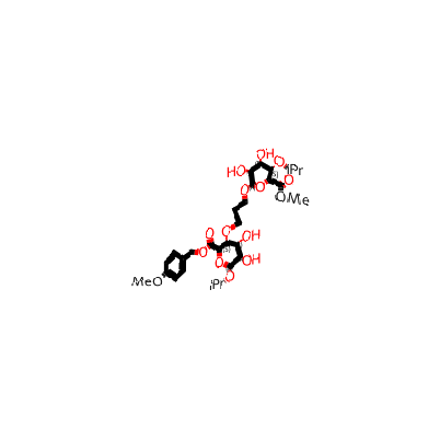 COC(=O)C1O[C@@H](OCCCO[C@@H]2C(C(=O)OCc3ccc(OC)cc3)O[C@@H](OC(C)C)[C@@H](O)[C@H]2O)[C@@H](O)[C@@H](O)[C@@H]1OC(C)C